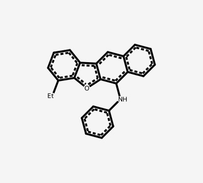 CCc1cccc2c1oc1c(Nc3ccccc3)c3ccccc3cc12